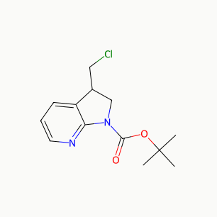 CC(C)(C)OC(=O)N1CC(CCl)c2cccnc21